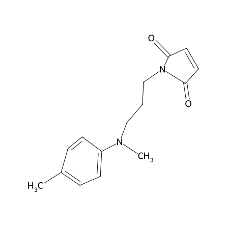 Cc1ccc(N(C)CCCN2C(=O)C=CC2=O)cc1